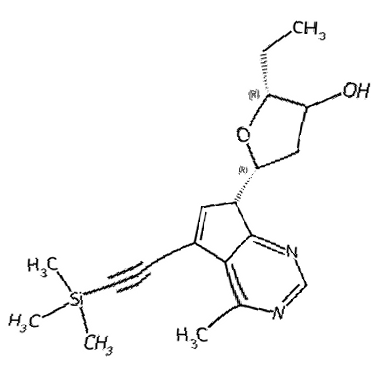 CC[C@H]1O[C@@H](C2C=C(C#C[Si](C)(C)C)c3c(C)ncnc32)CC1O